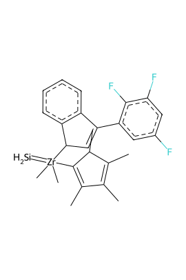 CC1=C(C)C(C)[C]([Zr]([CH3])([CH3])(=[SiH2])[CH]2C=C(c3cc(F)cc(F)c3F)c3ccccc32)=C1C